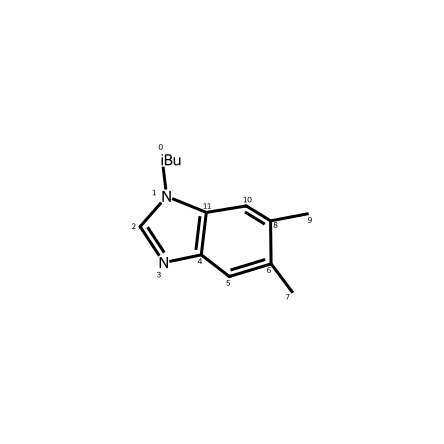 CCC(C)n1cnc2cc(C)c(C)cc21